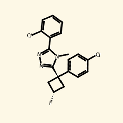 Cn1c(-c2ccccc2Cl)nnc1[C@]1(c2ccc(Cl)cc2)C[C@@H](F)C1